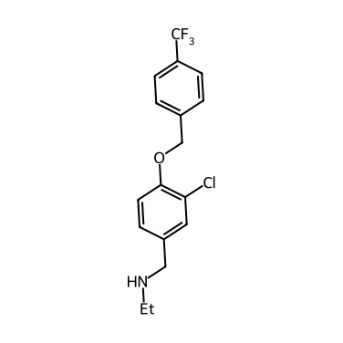 CCNCc1ccc(OCc2ccc(C(F)(F)F)cc2)c(Cl)c1